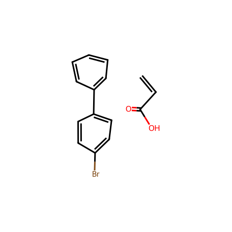 Brc1ccc(-c2ccccc2)cc1.C=CC(=O)O